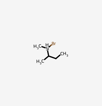 CCC(C)[SiH](C)Br